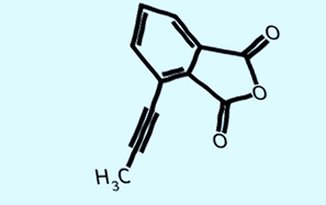 CC#Cc1cccc2c1C(=O)OC2=O